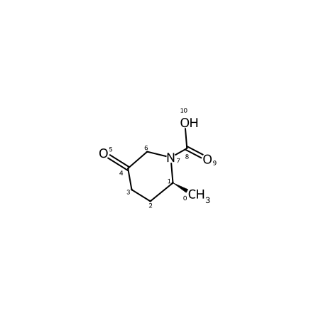 C[C@H]1CCC(=O)CN1C(=O)O